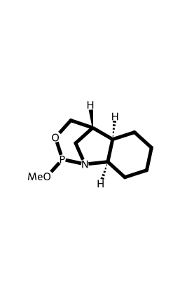 COP1OC[C@H]2CN1[C@@H]1CCCC[C@H]21